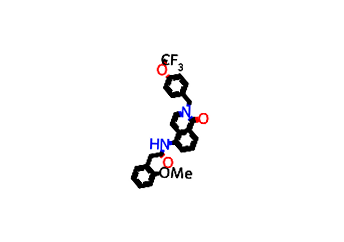 COc1ccccc1CC(=O)Nc1cccc2c(=O)n(Cc3ccc(OC(F)(F)F)cc3)ccc12